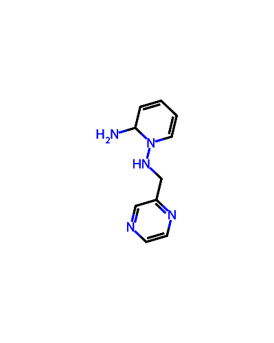 NC1C=CC=CN1NCc1cnccn1